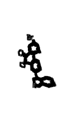 O=C1C(=O)c2cc(-c3cncc4ccccc34)ccc2-c2ccc(Br)cc21